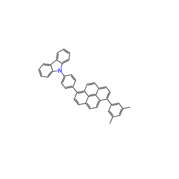 Cc1cc(C)cc(-c2ccc3ccc4c(-c5ccc(-n6c7ccccc7c7ccccc76)cc5)ccc5ccc2c3c54)c1